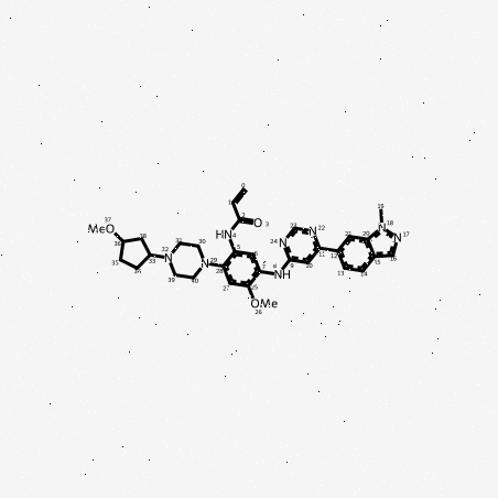 C=CC(=O)Nc1cc(Nc2cc(-c3ccc4cnn(C)c4c3)ncn2)c(OC)cc1N1CCN(C2CCC(OC)C2)CC1